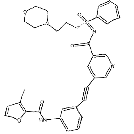 Cc1ccoc1C(=O)Nc1cccc(C#Cc2cncc(C(=O)N=[S@](=O)(CCCN3CCOCC3)c3ccccc3)c2)c1